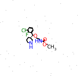 CCOC(=O)NCCOC(c1cccc(Cl)c1F)[C@@H]1CCCNC1